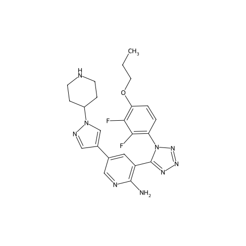 CCCOc1ccc(-n2nnnc2-c2cc(-c3cnn(C4CCNCC4)c3)cnc2N)c(F)c1F